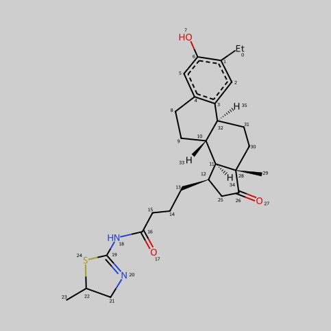 CCc1cc2c(cc1O)CC[C@H]1[C@@H]3[C@H](CCCC(=O)NC4=NCC(C)S4)CC(=O)[C@@]3(C)CC[C@H]21